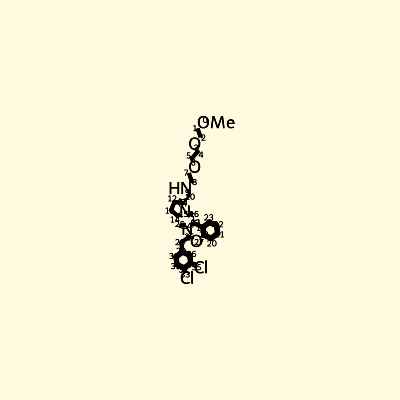 COCCOCCOCCNC[C@@H]1CCCN1C[C@H](c1ccccc1)N(C)C(=O)Cc1ccc(Cl)c(Cl)c1